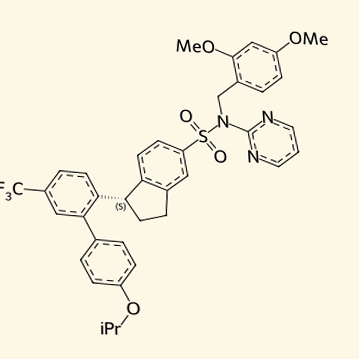 COc1ccc(CN(c2ncccn2)S(=O)(=O)c2ccc3c(c2)CC[C@@H]3c2ccc(C(F)(F)F)cc2-c2ccc(OC(C)C)cc2)c(OC)c1